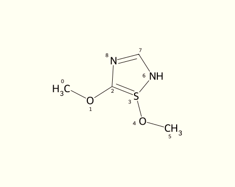 COC1=S(OC)NC=N1